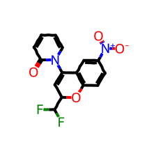 O=c1ccccn1C1=CC(C(F)F)Oc2ccc([N+](=O)[O-])cc21